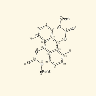 CCCCCOC(=O)Oc1c2cccc(C)c2c(OC(=O)OCCCCC)c2cccc(C)c12